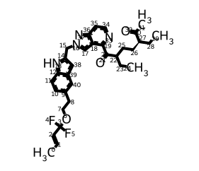 C/C=C/C(F)(F)OCCc1ccc2[nH]c(Cn3cc4c(C(=O)C(CC)CC[C@H](CC)C(C)=O)nccc4n3)cc2c1